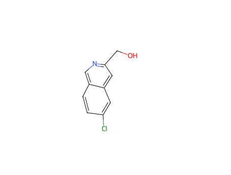 OCc1cc2cc(Cl)ccc2cn1